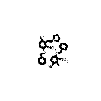 Cc1c(Br)ccc(OCc2ccccc2)c1[N+](=O)[O-].O=[N+]([O-])c1c(OCc2ccccc2)ccc(Br)c1C=CN1CCCC1